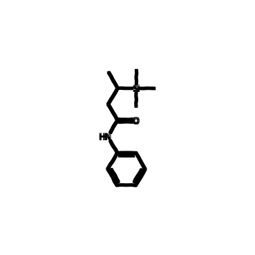 CC(CC(=O)Nc1ccccc1)[Si](C)(C)C